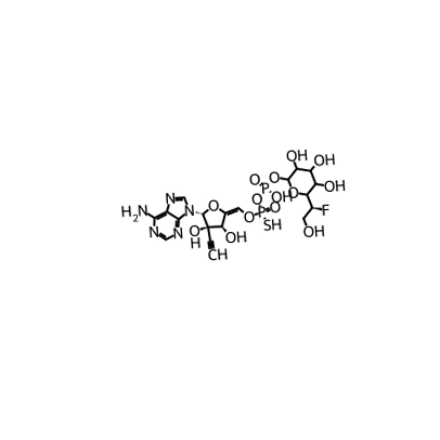 C#C[C@@]1(O)[C@H](O)/C(=C\OP(=O)(S)OP(=O)(O)OC2OC([C@@H](F)CO)C(O)C(O)C2O)O[C@H]1n1cnc2c(N)ncnc21